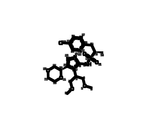 COCC(COC)n1c(NS(=O)(=O)[C@@H](C)Cc2ncc(Cl)cn2)nnc1[C@H]1COCCO1